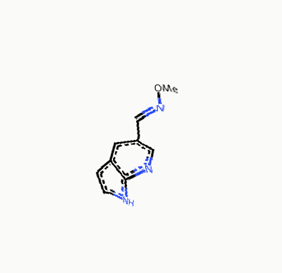 CON=Cc1cnc2[nH]ccc2c1